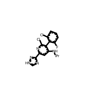 CC(C)Nc1cc(-c2nc[nH]n2)nc(Cl)c1-c1c(F)cccc1Cl